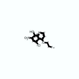 O=[N+]([O-])c1cc(Cl)c2c(OCCF)ccnc2c1O